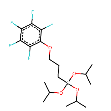 CC(C)O[Si](CCCOc1c(F)c(F)c(F)c(F)c1F)(OC(C)C)OC(C)C